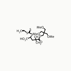 C=CSC(=S)SC(CC(C)(C)C(=O)OCC(COC)(COC)COC)C(=O)O